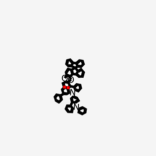 c1ccc(-c2cccc(N(c3ccc4c(c3)c3ccccc3n4-c3ccccc3)c3ccccc3-c3cccc4c3Oc3c(ccc5c3-c3ccccc3C53c5ccccc5-c5ccccc53)O4)c2)cc1